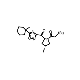 CC(C)(C)CC(=O)N1C[C@@H](F)CC1C(=O)c1noc(C2(C)CCCCC2)n1